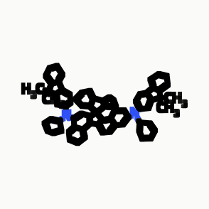 CC1(C)c2ccccc2-c2ccc(N(c3ccccc3)c3ccc4c5c(ccc4c3)-c3c(cc(N(c4ccccc4)c4ccc6c(c4)C(C)(C)c4ccccc4-6)c4ccccc34)C53c4ccccc4-c4ccccc43)cc21